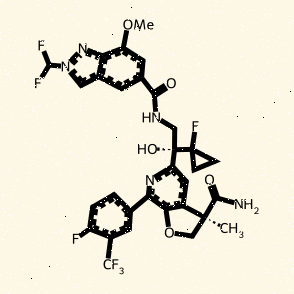 COc1cc(C(=O)NC[C@](O)(c2cc3c(c(-c4ccc(F)c(C(F)(F)F)c4)n2)OC[C@]3(C)C(N)=O)C2(F)CC2)cc2cn(C(F)F)nc12